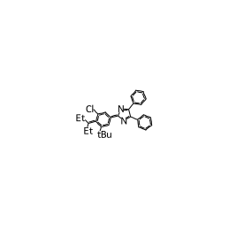 CCC(CC)=c1c(Cl)cc(=C2N=C(c3ccccc3)C(c3ccccc3)=N2)cc1C(C)(C)C